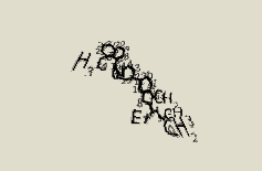 C=C(C)CCC(CC)C1Cc2cc(C3CCN(Cc4cccc5c4C(C)CCC5)CC3)ccc2C1=C